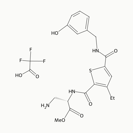 CCc1cc(C(=O)NCc2cccc(O)c2)sc1C(=O)N[C@@H](CN)C(=O)OC.O=C(O)C(F)(F)F